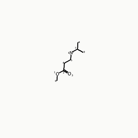 COC(=O)CC[N]C(C)C